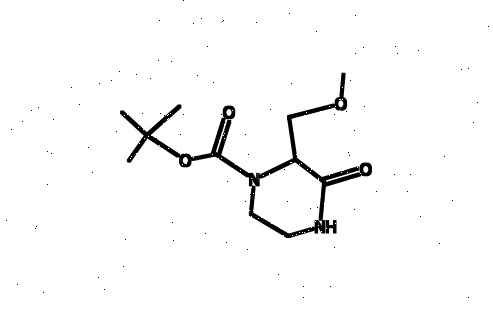 COCC1C(=O)NCCN1C(=O)OC(C)(C)C